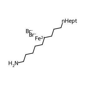 CCCCCCCCCCCCCCCCN.[Br-].[Br-].[Fe+2]